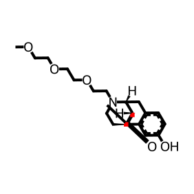 COCCOCCOCCN1CC[C@]23CC(=O)CC[C@H]2[C@H]1Cc1ccc(O)cc13